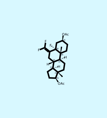 CC(=O)O[C@H]1CC[C@]2(C)[C@H]3CC[C@]4(C)[C@@H](OC(C)=O)CC[C@H]4[C@@H]3CC(=C(F)F)[C@@]2(F)C1